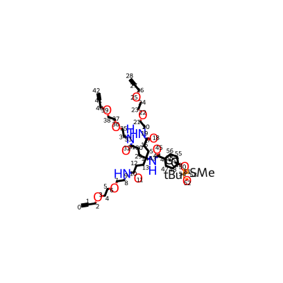 C#CCOCCOCCNC(=O)CCC(CCC(=O)NCCOCCOCC#C)(CCC(=O)NCCOCCOCC#C)NC(=O)C12CCC(OP(=O)(SC)C(C)(C)C)(CC1)CC2